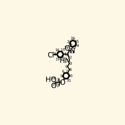 CC(C)(Oc1ccc(CCCNCC(c2ccc(Cl)cc2)c2nc3ccccc3o2)cc1)C(=O)O